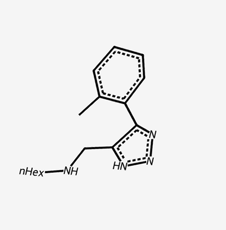 CCCCCCNCc1[nH]nnc1-c1ccccc1C